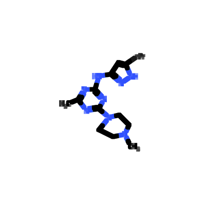 CCCc1cc(Nc2nc(C)nc(N3CCN(C)CC3)n2)n[nH]1